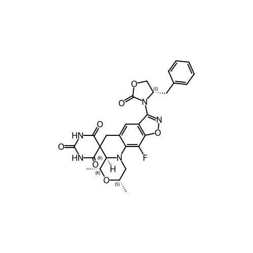 C[C@H]1CN2c3c(cc4c(N5C(=O)OC[C@@H]5Cc5ccccc5)noc4c3F)CC3(C(=O)NC(=O)NC3=O)[C@@H]2[C@@H](C)O1